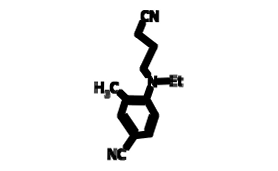 CCN(CCCC#N)c1ccc(C#N)cc1C